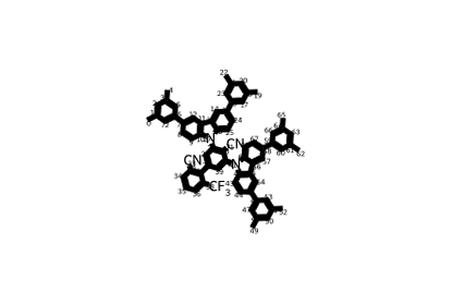 Cc1cc(C)cc(-c2ccc3c(c2)c2cc(-c4cc(C)cc(C)c4)ccc2n3-c2cc(-c3c(C#N)cccc3C(F)(F)F)cc(-n3c4ccc(-c5cc(C)cc(C)c5)cc4c4cc(-c5cc(C)cc(C)c5)ccc43)c2C#N)c1